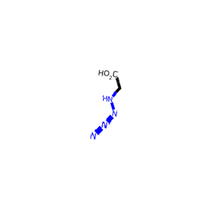 [N-]=[N+]=NNCC(=O)O